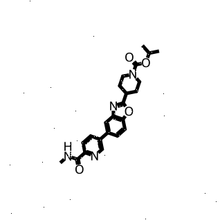 CNC(=O)c1ccc(-c2ccc3oc(C4CCN(C(=O)OC(C)C)CC4)nc3c2)cn1